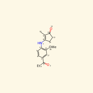 CCC(=O)c1ccc(NC2=C(C)C(=O)CC2)c(OC)c1